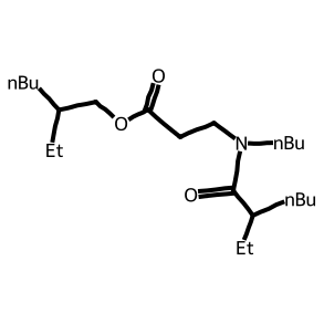 CCCCC(CC)COC(=O)CCN(CCCC)C(=O)C(CC)CCCC